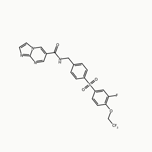 O=C(NCc1ccc(S(=O)(=O)c2ccc(OCC(F)(F)F)c(F)c2)cc1)c1cnc2nccn2c1